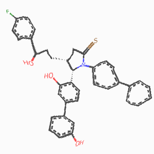 Oc1cccc(-c2ccc([C@@H]3[C@H](CCC(O)c4ccc(F)cc4)CC(=S)N3c3ccc(-c4ccccc4)cc3)c(O)c2)c1